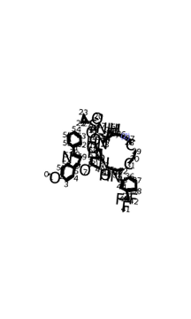 COc1ccc2c(O[C@@H]3C[C@H]4C(=O)N[C@]5(C(=O)NS(=O)(=O)C6CC6)C[C@H]5/C=C\CCCCC[C@H](Nc5cccc(C(F)(F)F)c5)C(=O)N4C3)cc(-c3ccccc3)nc2c1